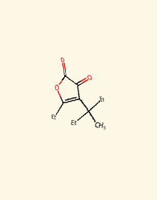 CCC1=C(C(C)(CC)CC)C(=O)C(=O)O1